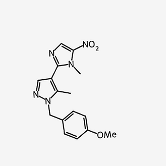 COc1ccc(Cn2ncc(-c3ncc([N+](=O)[O-])n3C)c2C)cc1